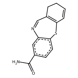 NC(=O)c1ccc2c(c1)N=CC1=C(C=CCC1)S2